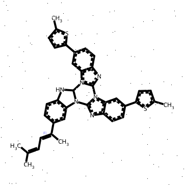 CC(C)=C/C=C(\C)c1ccc2c(c1)N1c3nc4ccc(-c5ccc(C)s5)cc4n3-c3nc4ccc(-c5ccc(C)s5)cc4n3C1N2